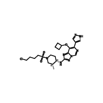 C[C@@H]1CN(S(=O)(=O)CCCCCl)CC[C@@H]1Nc1nc2c(OC3CCC3)c(-c3cn[nH]c3)ncn2n1